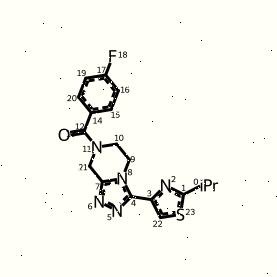 CC(C)c1nc(-c2nnc3n2CCN(C(=O)c2ccc(F)cc2)C3)cs1